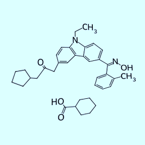 CCn1c2ccc(CC(=O)CC3CCCC3)cc2c2cc(C(=NO)c3ccccc3C)ccc21.O=C(O)C1CCCCC1